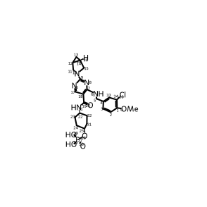 COc1ccc(CNc2nc(N3CC4C[C@@H]4C3)ncc2C(=O)N[C@H]2CC[C@H](OP(=O)(O)O)CC2)cc1Cl